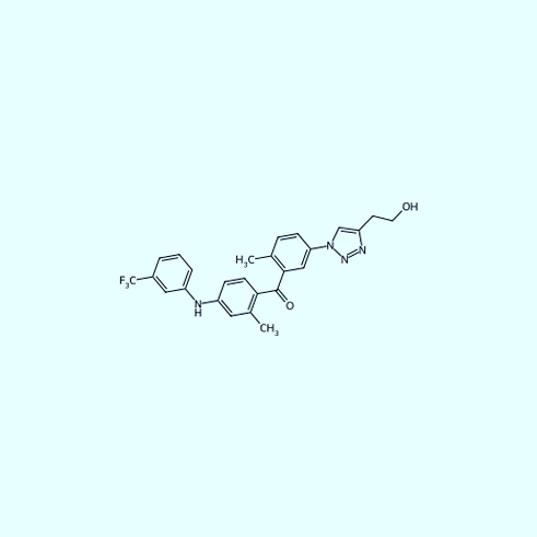 Cc1cc(Nc2cccc(C(F)(F)F)c2)ccc1C(=O)c1cc(-n2cc(CCO)nn2)ccc1C